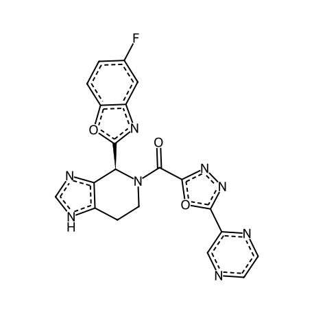 O=C(c1nnc(-c2cnccn2)o1)N1CCc2[nH]cnc2[C@H]1c1nc2cc(F)ccc2o1